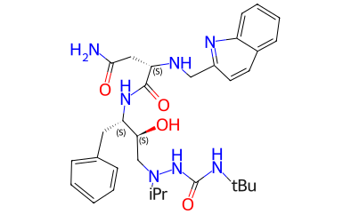 CC(C)N(C[C@H](O)[C@H](Cc1ccccc1)NC(=O)[C@H](CC(N)=O)NCc1ccc2ccccc2n1)NC(=O)NC(C)(C)C